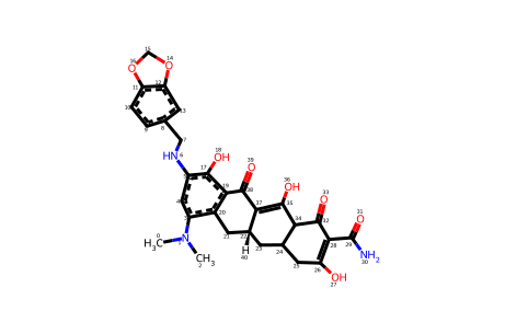 CN(C)c1cc(NCc2ccc3c(c2)OCO3)c(O)c2c1C[C@H]1CC3CC(O)=C(C(N)=O)C(=O)C3C(O)=C1C2=O